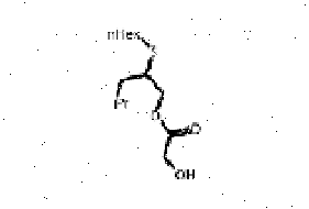 CCCCCCSC(COC(=O)CO)CC(C)C